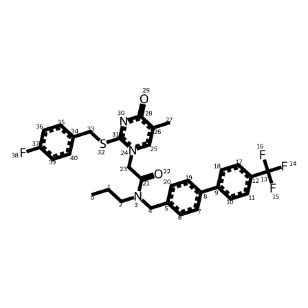 CCCN(Cc1ccc(-c2ccc(C(F)(F)F)cc2)cc1)C(=O)Cn1cc(C)c(=O)nc1SCc1ccc(F)cc1